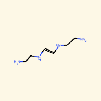 NCCN/C=C/NCCN